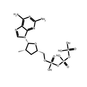 C[C@H]1C[C@@H](COP(=O)(O)OP(=O)(O)OP(=O)(O)O)O[C@H]1n1cnc2c(N)nc(N)nc21